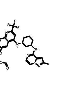 Cc1cc2c(N[C@@H]3CCC[C@H](Nc4cc(C(F)(F)F)nc5ccc(Cl)cc45)C3)nccn2n1.O=CO